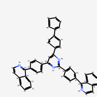 c1ccc(-c2ccc(-c3cc(-c4ccc(-c5nccc6ccccc56)cc4)nc(-c4ccc(-c5nccc6ccccc56)cc4)n3)cc2)cc1